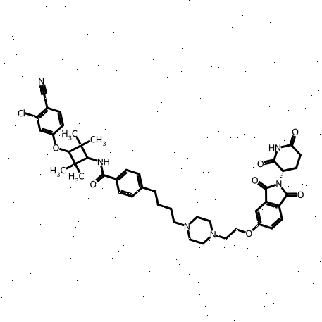 CC1(C)C(NC(=O)c2ccc(CCCCN3CCN(CCOc4ccc5c(c4)C(=O)N([C@H]4CCC(=O)NC4=O)C5=O)CC3)cc2)C(C)(C)C1Oc1ccc(C#N)c(Cl)c1